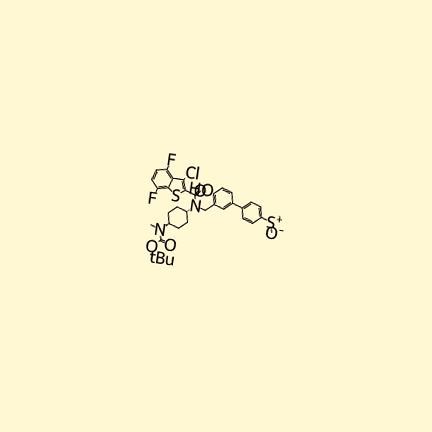 CN(C(=O)OC(C)(C)C)[C@H]1CC[C@H](N(Cc2cc(-c3ccc([S+](C)[O-])cc3)ccc2O)C(=O)c2sc3c(F)ccc(F)c3c2Cl)CC1